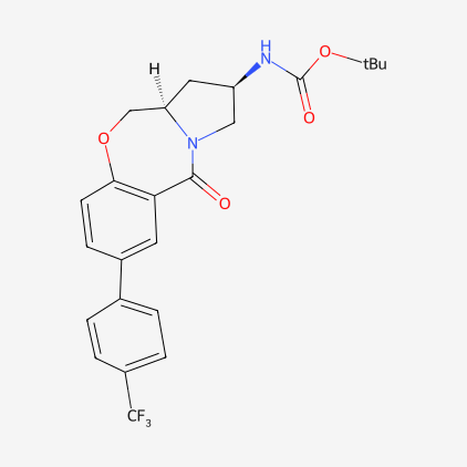 CC(C)(C)OC(=O)N[C@@H]1C[C@@H]2COc3ccc(-c4ccc(C(F)(F)F)cc4)cc3C(=O)N2C1